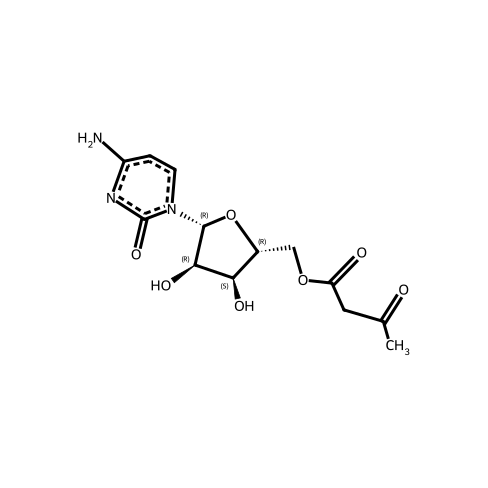 CC(=O)CC(=O)OC[C@H]1O[C@@H](n2ccc(N)nc2=O)[C@H](O)[C@@H]1O